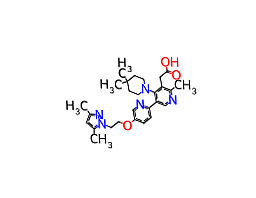 Cc1cc(C)n(CCOc2ccc(-c3cnc(C)c(CC(=O)O)c3N3CCC(C)(C)CC3)nc2)n1